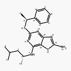 CC(C)C[C@@H](C)Nc1nc(S[C@@H](C)c2ccccc2)nc2nc(N)sc12